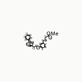 COC(=O)CSCc1cccc(OCCc2coc(-c3ccccc3)n2)c1